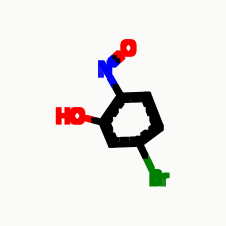 O=Nc1ccc(Br)cc1O